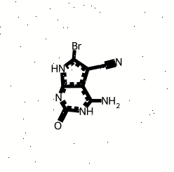 N#Cc1c(Br)[nH]c2nc(=O)[nH]c(N)c12